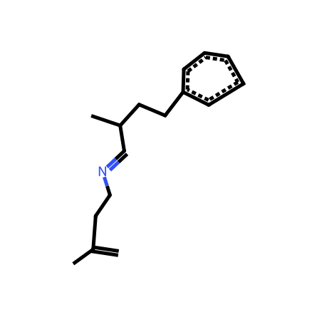 C=C(C)CC/N=C/C(C)CCc1ccccc1